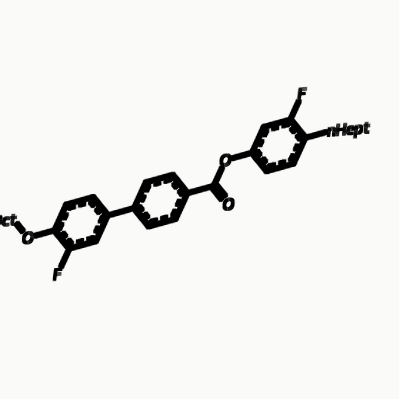 CCCCCCCCOc1ccc(-c2ccc(C(=O)Oc3ccc(CCCCCCC)c(F)c3)cc2)cc1F